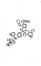 COc1ccc(C(Cc2c(Cl)cncc2Cl)OC(=O)c2ccc(CN(C(=O)O[C@H]3CN4CCC3CC4)c3cccnc3)cc2)cc1OC1CCCC1